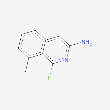 Cc1cccc2cc(N)nc(F)c12